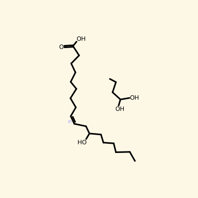 CCCC(O)O.CCCCCCC(O)C/C=C\CCCCCCCC(=O)O